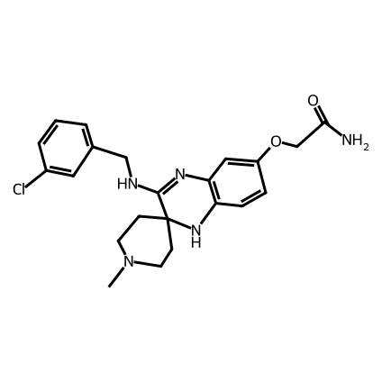 CN1CCC2(CC1)Nc1ccc(OCC(N)=O)cc1N=C2NCc1cccc(Cl)c1